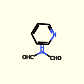 O=CNC=O.c1ccncc1